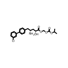 CC(C)OC(=O)OCOC(=O)[C@H](O)C[C@H](N)Cc1ccc(-c2cccc(Cl)c2)cc1